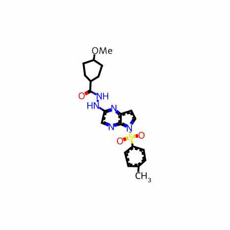 COC1CCC(C(=O)NNc2cnc3c(ccn3S(=O)(=O)c3ccc(C)cc3)n2)CC1